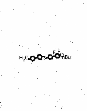 C=CC1CCC(C2CCC(CCC3CCC(c4ccc(OCCCC)c(F)c4F)CC3)CC2)CC1